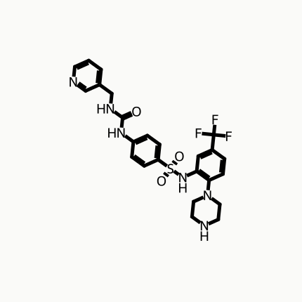 O=C(NCc1cccnc1)Nc1ccc(S(=O)(=O)Nc2cc(C(F)(F)F)ccc2N2CCNCC2)cc1